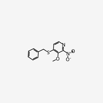 COc1c(SCc2ccccc2)ccnc1[N+](=O)[O-]